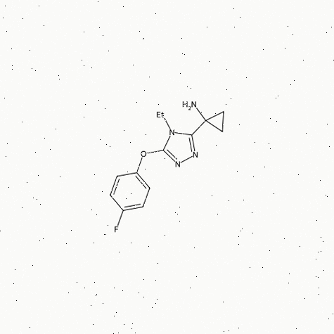 CCn1c(Oc2ccc(F)cc2)nnc1C1(N)CC1